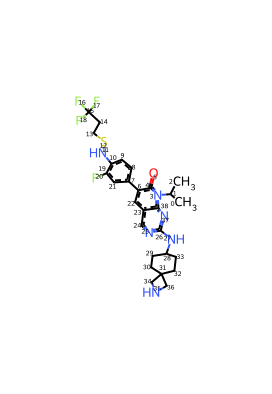 CC(C)n1c(=O)c(-c2ccc(NSCCC(F)(F)F)c(F)c2)cc2cnc(NC3CCC4(CC3)CNC4)nc21